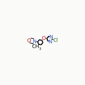 CC1COCCN1c1cccc(Oc2cnc(Cl)nc2)c1